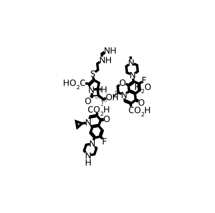 C[C@@H](O)[C@H]1C(=O)N2C(C(=O)O)=C(SCCNC=N)C[C@H]12.C[C@H]1COc2c(N3CCN(C)CC3)c(F)cc3c(=O)c(C(=O)O)cn1c23.O.O=C(O)c1cn(C2CC2)c2cc(N3CCNCC3)c(F)cc2c1=O